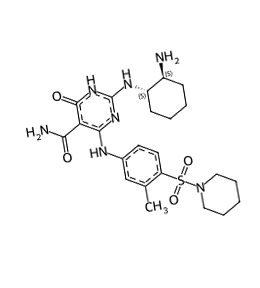 Cc1cc(Nc2nc(N[C@H]3CCCC[C@@H]3N)[nH]c(=O)c2C(N)=O)ccc1S(=O)(=O)N1CCCCC1